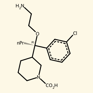 CCC[C@](OCCN)(c1cccc(Cl)c1)C1CCCN(C(=O)O)C1